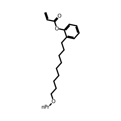 C=CC(=O)Oc1ccccc1CCCCCCCCCOCCC